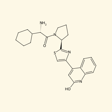 N[C@H](C(=O)N1CCC[C@H]1c1nc(-c2cc(O)nc3ccccc23)cs1)C1CCCCC1